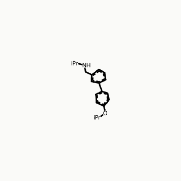 CC(C)NCc1cccc(-c2ccc(OC(C)C)cc2)c1